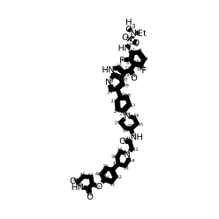 CCN(C)S(=O)(=O)Nc1ccc(F)c(C(=O)c2c[nH]c3ncc(-c4ccc(N5CCC(NC(=O)CN6CCC(c7ccc(OC8CCC(=O)NC8=O)cc7)CC6)CC5)cc4)cc23)c1F